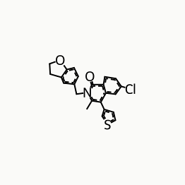 Cc1c(-c2ccsc2)c2cc(Cl)ccc2c(=O)n1Cc1ccc2c(c1)CCO2